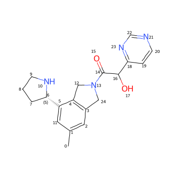 Cc1cc2c(c([C@@H]3CCCN3)c1)CN(C(=O)C(O)c1ccncn1)C2